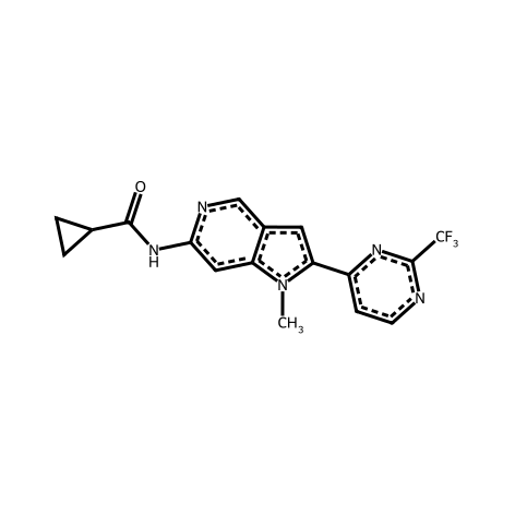 Cn1c(-c2ccnc(C(F)(F)F)n2)cc2cnc(NC(=O)C3CC3)cc21